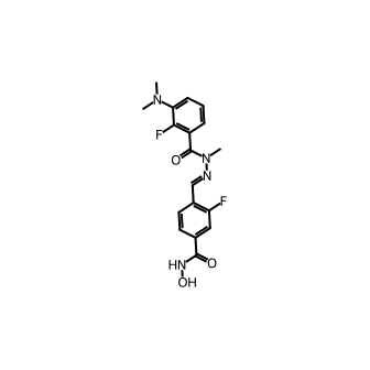 CN(N=Cc1ccc(C(=O)NO)cc1F)C(=O)c1cccc(N(C)C)c1F